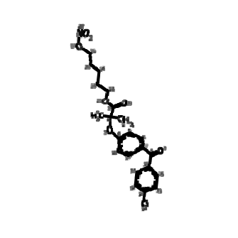 CC(C)(Oc1ccc(C(=O)c2ccc(Cl)cc2)cc1)C(=O)OCCCCCO[N+](=O)[O-]